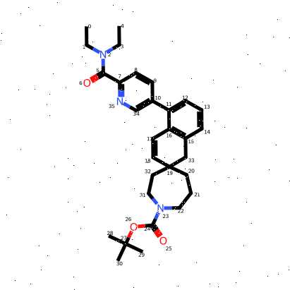 CCN(CC)C(=O)c1ccc(-c2cccc3c2C=CC2(CCCN(C(=O)OC(C)(C)C)CC2)C3)cn1